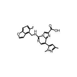 Cc1cc(-c2cnc(NCc3c(F)ccc4occc34)n3cc(C(=O)O)nc23)n(C)n1